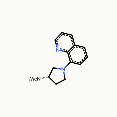 CN[C@H]1CCN(c2cccc3cccnc23)C1